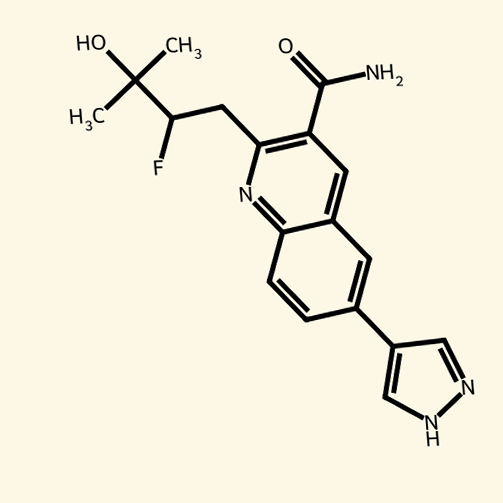 CC(C)(O)C(F)Cc1nc2ccc(-c3cn[nH]c3)cc2cc1C(N)=O